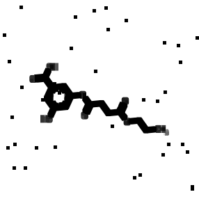 CCCOC(=O)CCC(=O)Oc1cc(O)cc(C(=O)O)c1